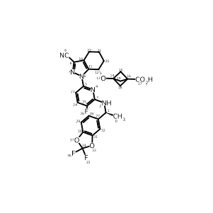 C[C@H](Nc1nc(-n2nc(C#N)c3c2[C@@H](OC24CC(C(=O)O)(C2)C4)CCC3)ccc1F)c1ccc2c(c1)OC(F)(F)O2